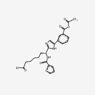 CCC(=O)CCCCC[C@H](NC(=O)c1cccs1)C1=[N+]C=C(c2cccc(C(=O)OC(=O)C(F)(F)F)c2)N1